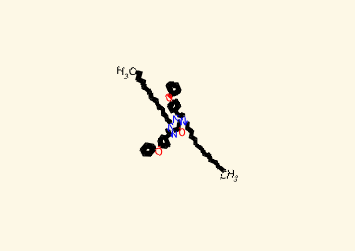 CCCCCCCCCCCCCCn1cc(-c2ccc(Oc3ccccc3)cc2)nc1C(=O)c1nc(-c2ccc(Oc3ccccc3)cc2)cn1CCCCCCCCCCCCCC